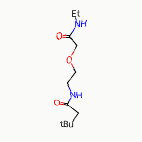 CCNC(=O)COCCNC(=O)CC(C)(C)C